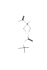 CC(C)(C)OC(=O)N1CC(F)(C(=O)Cl)C1